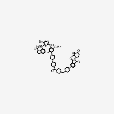 COc1cc(N2CCC(N3CCN(C(=O)C4CCN(CC5CCN(c6ccc7c(c6)C(=O)N(C6CCC(=O)NC6=O)C7=O)CC5)CC4)CC3)CC2)c(C)cc1Nc1ncc(Br)c(Nc2cccc3c2N(S(C)(=O)=O)CC3)n1